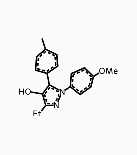 CCc1nn(-c2ccc(OC)cc2)c(-c2ccc(C)cc2)c1O